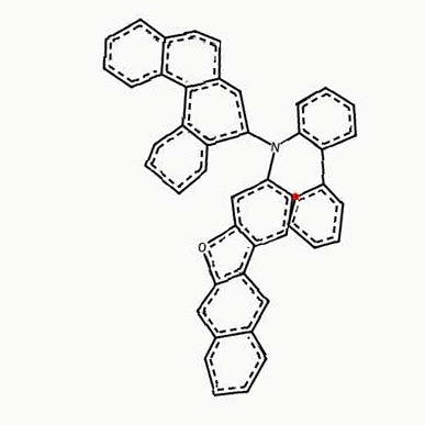 c1ccc(-c2ccccc2N(c2ccc3c(c2)oc2cc4ccccc4cc23)c2cc3ccc4ccccc4c3c3ccccc23)cc1